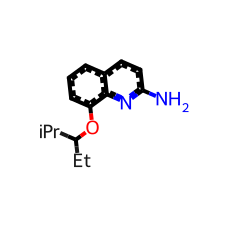 CCC(Oc1cccc2ccc(N)nc12)C(C)C